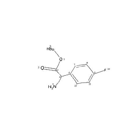 CCCCOC(=O)C(N)c1ccc(F)cc1